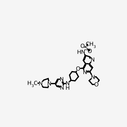 CN1CCN(c2cnc(NC3CCC(Oc4nc(N5CCOCC5)cc5ncc(NS(C)(=O)=O)cc45)CC3)nc2)CC1